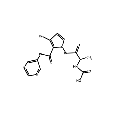 CC(NC(=O)O)C(=O)Nn1ccc(Br)c1C(=O)Nc1cncnc1